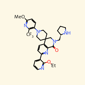 CCOc1ncccc1-c1ccc2c(n1)C(=O)N(C[C@H]1CCCN1)CC21CCN(c2ccc(OC)nc2C(F)(F)F)CC1